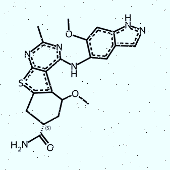 COc1cc2[nH]ncc2cc1Nc1nc(C)nc2sc3c(c12)C(OC)C[C@H](C(N)=O)C3